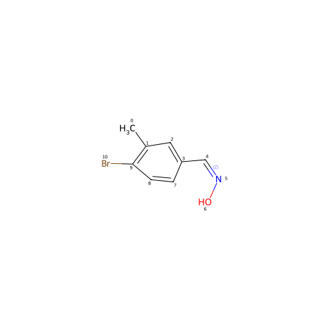 Cc1cc(/C=N\O)ccc1Br